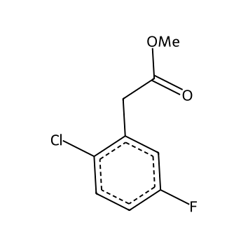 COC(=O)Cc1cc(F)ccc1Cl